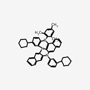 Cc1cc(C)c(B2c3ccc(C4CCCCC4)cc3N3c4cc5ccccc5cc4N(c4cccc(C5CCCCC5)c4)c4cc5ccccc5c2c43)c(C)c1